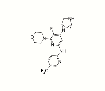 Fc1c(N2CC3CC2CN3)cc(Nc2ccc(C(F)(F)F)cn2)nc1N1CCOCC1